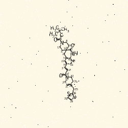 CC(C)(C)OC(=O)N1CCC2(CC1)Cc1cc(/C=C/C(=O)N3CC=C(Cc4nccs4)CC3)cnc1NC2=O